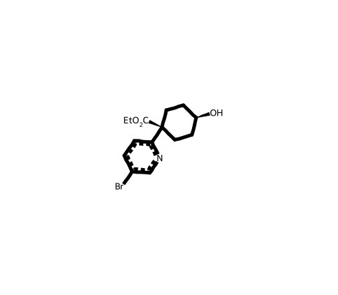 CCOC(=O)[C@]1(c2ccc(Br)cn2)CC[C@H](O)CC1